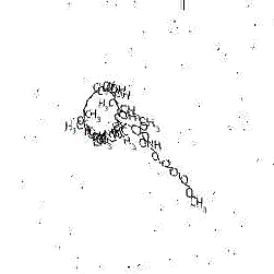 CCOCCOCCOCCOCCOCCNC(=O)O[C@@H]1CC[C@@H](C[C@@H](C)[C@@H]2C[C@@H](O)C(C)/C=C(\C)[C@@H](O)[C@@H](O)C(=O)[C@H](C)C[C@H](C)/C=C/C=C/C=C(\C)[C@@H](OC)C[C@@H]3CC[C@@H](C)[C@@](O)(O3)C(=O)C(=O)N3CCCC[C@H]3C(=O)O2)C[C@H]1OC